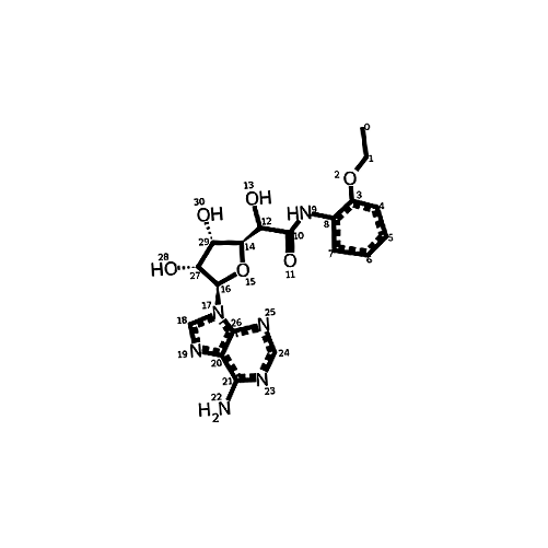 CCOc1ccccc1NC(=O)C(O)[C@H]1O[C@@H](n2cnc3c(N)ncnc32)[C@H](O)[C@@H]1O